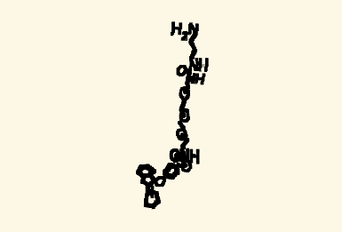 NCCCCNC(=O)NCCOCCOCCOCCNS(=O)(=O)c1ccc(O[C@H]2c3ccccc3C[C@@H]2N2CCCCC2)cc1